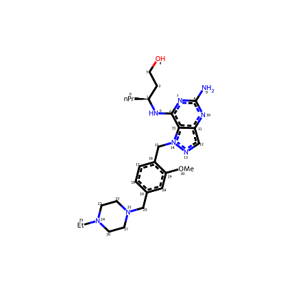 CCC[C@@H](CCO)Nc1nc(N)nc2cnn(Cc3ccc(CN4CCN(CC)CC4)cc3OC)c12